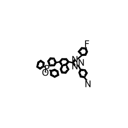 N#Cc1ccc(-c2nc(-c3ccc(F)cc3)nc(-c3ccc(-c4cccc(P(=O)(c5ccccc5)c5ccccc5)c4)c4ccccc34)n2)cc1